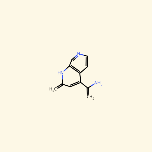 C=C1C=C(C(=C)N)c2ccncc2N1